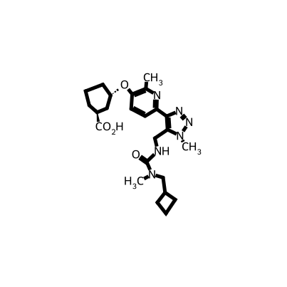 Cc1nc(-c2nnn(C)c2CNC(=O)N(C)CC2CCC2)ccc1O[C@H]1CCC[C@H](C(=O)O)C1